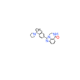 CC(c1ccc(-c2nc3cccc4c3n2CCNC4=O)cc1)N1CCCC1